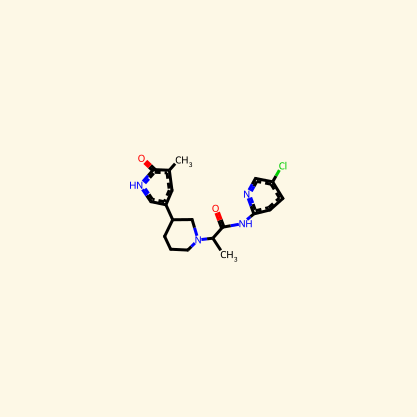 Cc1cc(C2CCCN(C(C)C(=O)Nc3ccc(Cl)cn3)C2)c[nH]c1=O